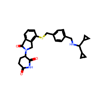 O=C1CCC(N2Cc3c(SCc4ccc(CNC(C5CC5)C5CC5)cc4)cccc3C2=O)C(=O)N1